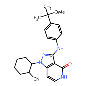 COC(C)(c1ccc(Nc2nn(C3CCCCC3C#N)c3cc[nH]c(=O)c23)cc1)C(F)(F)F